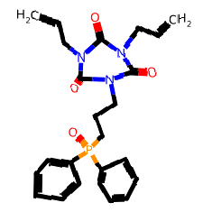 C=CCn1c(=O)n(CC=C)c(=O)n(CCCP(=O)(c2ccccc2)c2ccccc2)c1=O